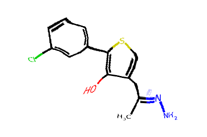 C/C(=N\N)c1csc(-c2cccc(Cl)c2)c1O